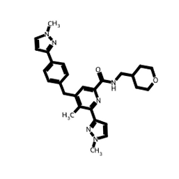 Cc1c(Cc2ccc(-c3ccn(C)n3)cc2)cc(C(=O)NCC2CCOCC2)nc1-c1ccn(C)n1